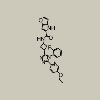 CCOc1ccc(-c2nnc(C3CC(NC(=O)c4cc5occc5[nH]4)C3)n2-c2ccccc2F)nc1